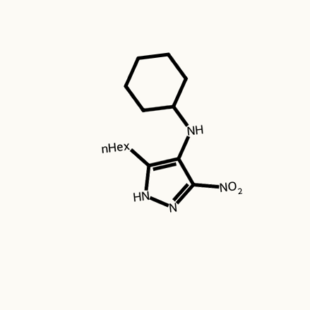 CCCCCCc1[nH]nc([N+](=O)[O-])c1NC1CCCCC1